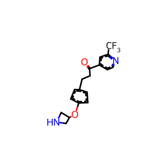 O=C(CCc1ccc(OC2CNC2)cc1)c1ccnc(C(F)(F)F)c1